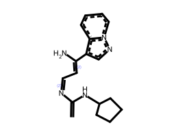 C=C(/N=C\C=C(/N)c1cnn2ccccc12)NC1CCCC1